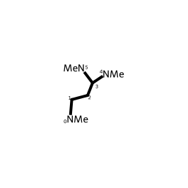 CNCCC(NC)NC